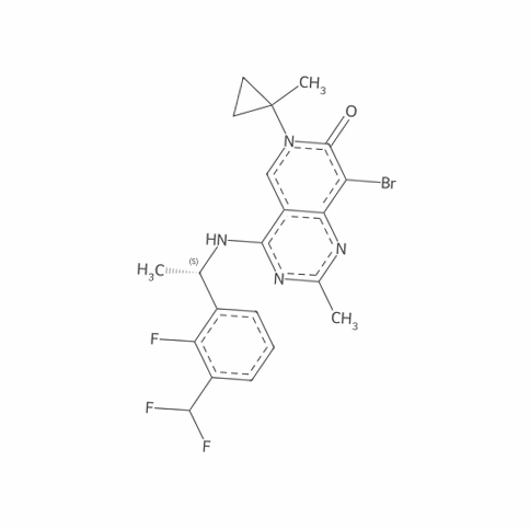 Cc1nc(N[C@@H](C)c2cccc(C(F)F)c2F)c2cn(C3(C)CC3)c(=O)c(Br)c2n1